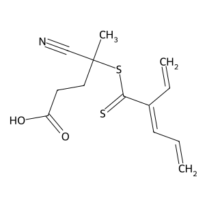 C=C/C=C(\C=C)C(=S)SC(C)(C#N)CCC(=O)O